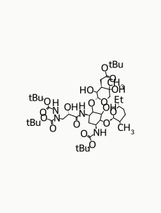 CC[C@@H]1CCC(C)[C@@H](OC2C(O)C(O[C@H]3OCC(C)(O)[C@H](CC(=O)OC(C)(C)C)C3O)[C@H](NC(=O)[C@@H](O)CN(NC(=O)OC(C)(C)C)C(=O)OC(C)(C)C)C[C@@H]2NC(=O)OC(C)(C)C)O1